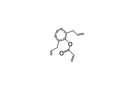 C=CCc1cccc(CC=C)c1OC(=O)C=C